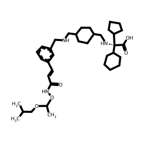 CC(C)COC(C)ONC(=O)/C=C/c1cccc(CNCC2CCC(CN[C@](C(=O)O)(C3CCCCC3)C3CCCC3)CC2)c1